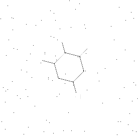 CC1CC(F)C(C)C(C(F)(F)F)C1